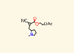 CC(=O)OCCOC(=O)C1C(C#N)C1CC1CCCN1C